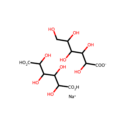 O=C(O)C(O)C(O)C(O)C(O)C(=O)O.O=C([O-])C(O)C(O)C(O)C(O)CO.[Na+]